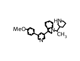 COc1ccc(-c2cncc(-c3cn(C(C)C4CCCNC4)c4ccccc34)c2)cc1